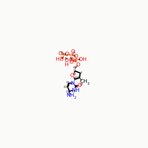 C[C@H]1C[C@@H](COP(=O)(O)OP(=O)(O)OP(=O)(O)O)O[C@H]1N1C=CC(N)NC1=O